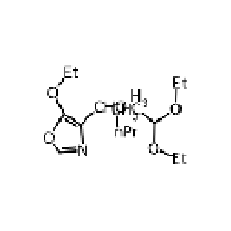 CCCC.CCOC(C)OCC.CCOc1ocnc1C=O